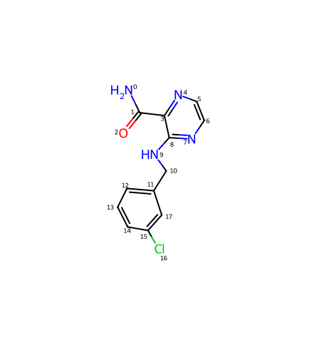 NC(=O)c1nccnc1NCc1cccc(Cl)c1